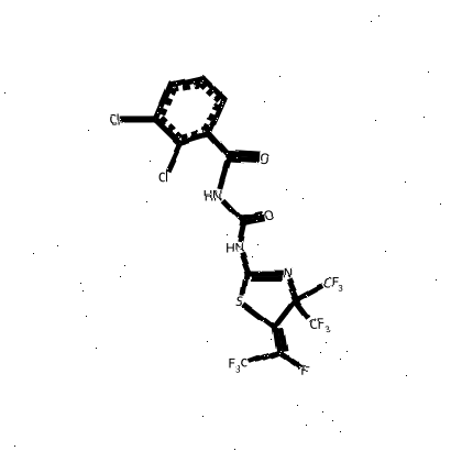 O=C(NC(=O)c1cccc(Cl)c1Cl)NC1=NC(C(F)(F)F)(C(F)(F)F)C(=C(F)C(F)(F)F)S1